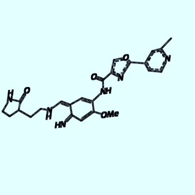 COC1=CC(=N)/C(=C\NCCC2CCNC2=O)C=C1NC(=O)c1coc(-c2ccnc(C)c2)n1